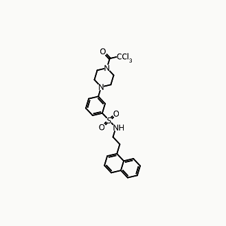 O=C(N1CCN(c2cccc(S(=O)(=O)NCCc3cccc4ccccc34)c2)CC1)C(Cl)(Cl)Cl